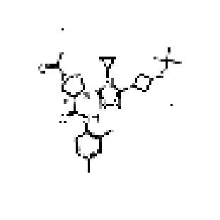 CC(=O)N1C[C@H](C(=O)Nc2ccc(C)cc2C)[C@@H](c2nnc([C@H]3C[C@@H](OC(C)(C)C)C3)n2C2CC2)C1